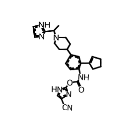 CC(c1ncc[nH]1)N1CCC(c2ccc(NC(=O)Oc3nc(C#N)c[nH]3)c(C3=CCCC3)c2)CC1